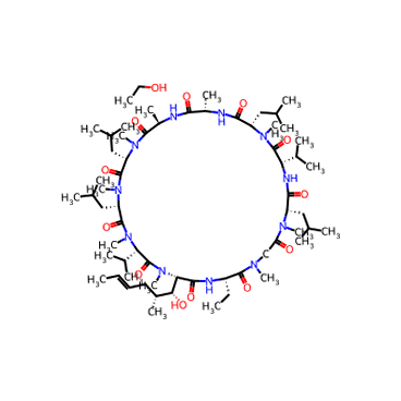 CC=CC[C@@H](C)[C@@H](O)[C@H]1C(=O)N[C@@H](CC)C(=O)N(C)CC(=O)N(C)[C@@H](CC(C)C)C(=O)N[C@@H](C(C)C)C(=O)N(C)[C@@H](CC(C)C)C(=O)N[C@@H](C)C(=O)N[C@H](C)C(=O)N(C)[C@@H](CC(C)C)C(=O)N(C)[C@@H](CC(C)C)C(=O)N(C)[C@@H](C(C)C)C(=O)N1C.CCO